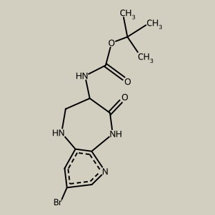 CC(C)(C)OC(=O)NC1CNc2cc(Br)cnc2NC1=O